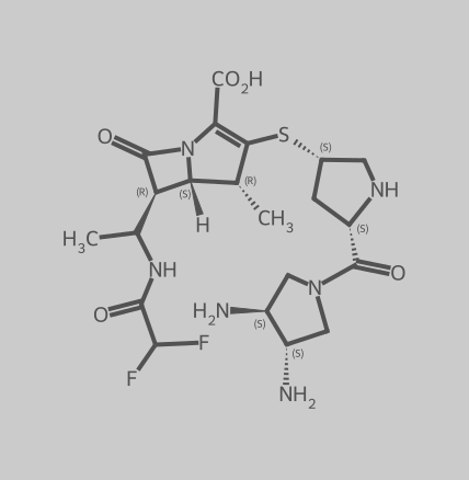 CC(NC(=O)C(F)F)[C@H]1C(=O)N2C(C(=O)O)=C(S[C@@H]3CN[C@H](C(=O)N4C[C@H](N)[C@@H](N)C4)C3)[C@H](C)[C@H]12